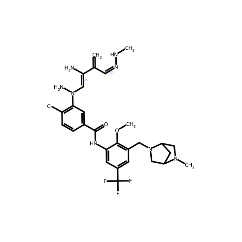 C=C(/C=N\NC)/C(N)=C/N(N)c1cc(C(=O)Nc2cc(C(F)(F)F)cc(CN3CC4CC3CN4C)c2OC)ccc1Cl